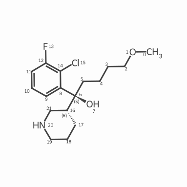 COCCCC[C@@](O)(c1cccc(F)c1Cl)[C@@H]1CCCNC1